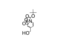 CC(C)(C)OC(=O)N1C=CC(CO)=CS1(=O)=O